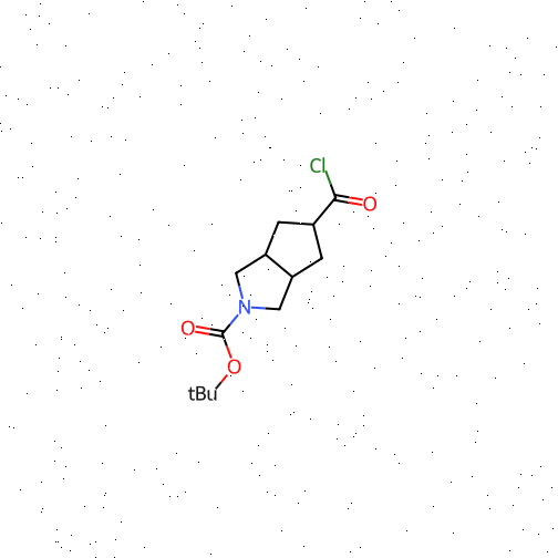 CC(C)(C)OC(=O)N1CC2CC(C(=O)Cl)CC2C1